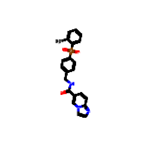 O=C(NCc1ccc(S(=O)(=O)c2ccccc2C(F)(F)F)cc1)c1ccc2nccn2c1